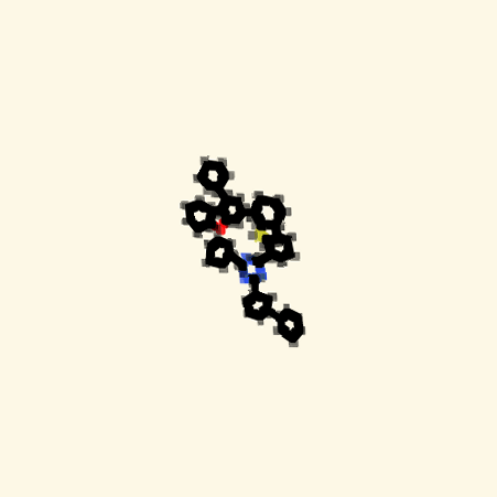 c1ccc(-c2cccc(-c3nc(-c4ccccc4)nc(-c4cccc5c4sc4c(-c6cc(-c7ccccc7)c7c(c6)oc6ccccc67)cccc45)n3)c2)cc1